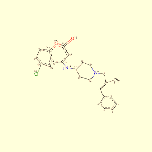 CC(=Cc1ccccc1)CN1CCC(Nc2cc(=O)oc3ccc(Cl)cc23)CC1